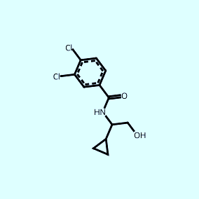 O=C(NC(CO)C1CC1)c1ccc(Cl)c(Cl)c1